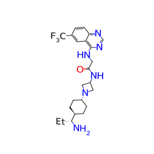 CC[C@@H](N)[C@H]1CC[C@H](N2CC(NC(=O)CNc3ncnc4ccc(C(F)(F)F)cc34)C2)CC1